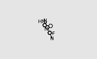 N#Cc1ccc(-c2nc3ccc4[nH]ncc4c3c3c2CCCC3)cc1F